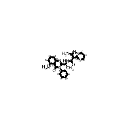 C[C@H](NC(=O)c1c(N)nn2cccnc12)c1nc2cccc(N)c2c(=O)n1-c1ccccc1